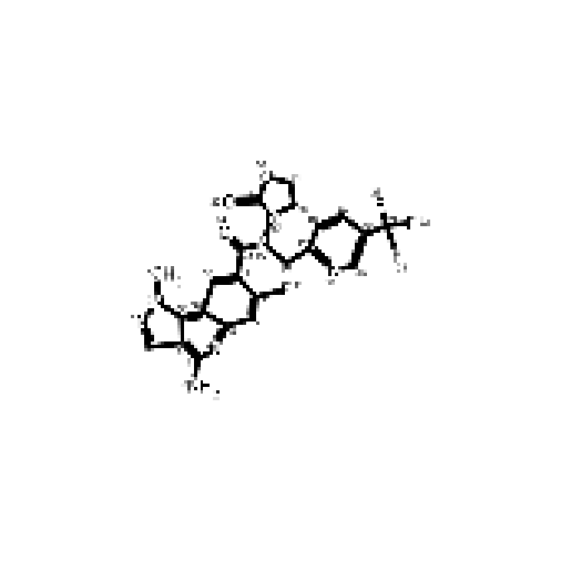 Cn1ncc2c(N)nc3cc(F)c(C(=O)N(Cc4ccc(C(F)(F)F)cn4)N4CCOC4=O)cc3c21